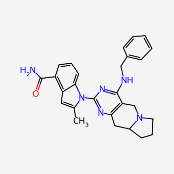 Cc1cc2c(C(N)=O)cccc2n1-c1nc2c(c(NCc3ccccc3)n1)CN1CCCC1C2